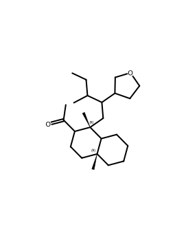 CCC(C)C(C[C@@]1(C)C(C(C)=O)CC[C@@]2(C)CCCCC21)C1CCOC1